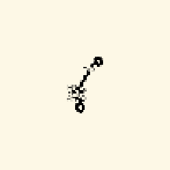 O=C(CCCCC1SCC2C1NC(=O)N2C(O)C(=O)c1ccccc1)OCc1ccccc1